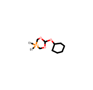 CC[PH]1(CC)COC(OC2CCCCC2)OC1